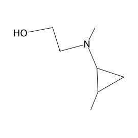 CC1CC1N(C)CCO